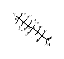 C=C(S)C(F)(F)C(F)(F)C(F)(F)C(F)(F)C(F)(F)C(F)(F)F